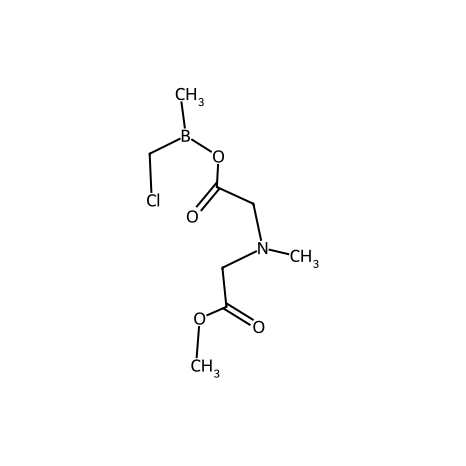 COC(=O)CN(C)CC(=O)OB(C)CCl